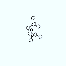 c1ccc(-c2ccc3c4c5oc6c(-c7cc(-c8ccccc8)nc(-c8ccccc8)c7)cccc6c5ccc4n(-c4ccccc4)c3c2)cc1